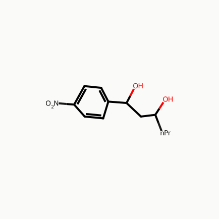 CCCC(O)CC(O)c1ccc([N+](=O)[O-])cc1